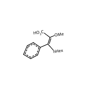 CCCCCCC(=C(OC)C(=O)O)c1ccccc1